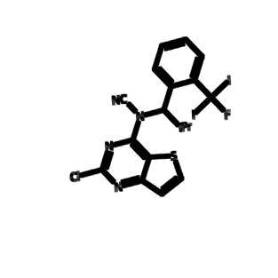 CC(C)C(c1ccccc1C(F)(I)I)N(C#N)c1nc(Cl)nc2ccsc12